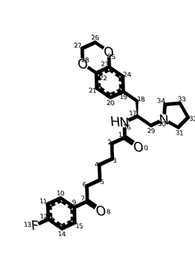 O=C(CCCCCC(=O)c1ccc(F)cc1)N[C@@H](Cc1ccc2c(c1)OCCO2)CN1CCCC1